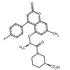 CCOC(=O)[C@H]1CCCN(C(=O)[C@@H](C)Oc2cc(C)cc3oc(=O)cc(-c4ccc(F)cc4)c23)C1